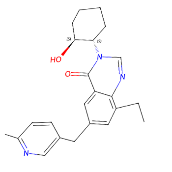 CCc1cc(Cc2ccc(C)nc2)cc2c(=O)n([C@H]3CCCC[C@@H]3O)cnc12